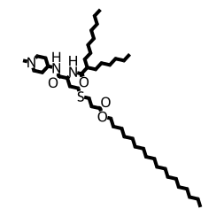 CCCCCCCCCCCCCCCCCCOC(=O)CCSCCC(NC(=O)C(CCCCCC)CCCCCCCC)C(=O)NC1CCN(C)CC1